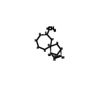 CC1CCCCC2(C1)CC1C=CC2C1